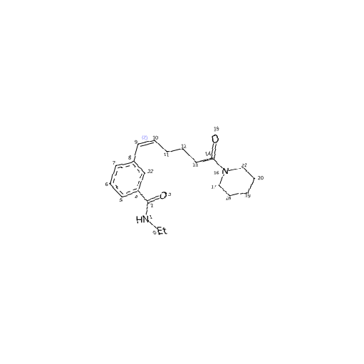 CCNC(=O)c1cccc(/C=C\CCCC(=O)N2CCCCC2)c1